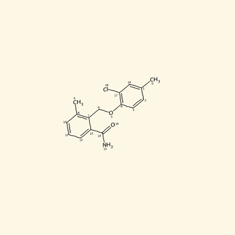 Cc1ccc(OCc2c(C)cccc2C(N)=O)c(Cl)c1